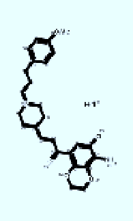 COc1ccc(CCCN2CCC(CCC(=O)c3cc(Cl)c(N)c4c3OCCO4)CC2)cc1.Cl